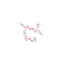 O=C(OOC(=O)c1cccc(C(=O)c2ccc([N+](=O)[O-])cc2)c1C=Cc1ccc([N+](=O)[O-])cc1)c1cccc(C(=O)c2ccc([N+](=O)[O-])cc2)c1C=Cc1ccc([N+](=O)[O-])cc1.O=C(OOC(=O)c1cccc2ccccc12)c1cccc2ccccc12